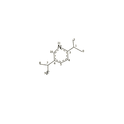 CC(C)c1ccc(C(C)F)cn1